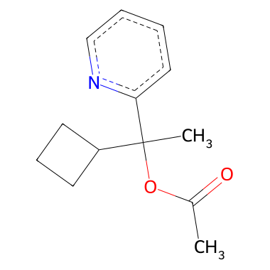 CC(=O)OC(C)(c1ccccn1)C1CCC1